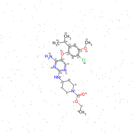 CCOC(=O)N1CCC(Nc2ncc(Oc3cc(Cl)c(OC)cc3C(C)C)c(N)n2)CC1